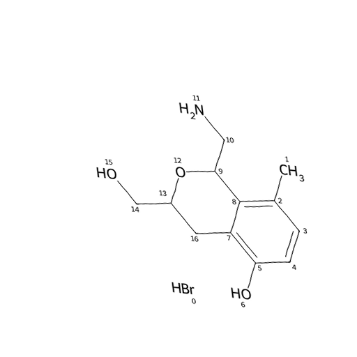 Br.Cc1ccc(O)c2c1C(CN)OC(CO)C2